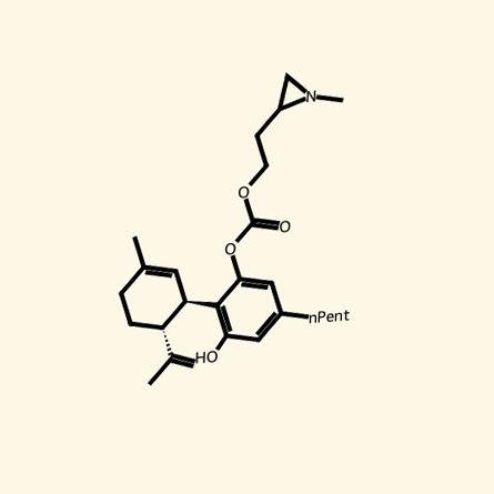 C=C(C)[C@@H]1CCC(C)=C[C@H]1c1c(O)cc(CCCCC)cc1OC(=O)OCCC1CN1C